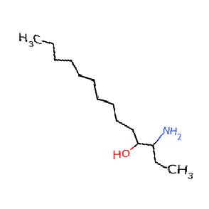 CCCCCCCCCCC(O)C(N)CC